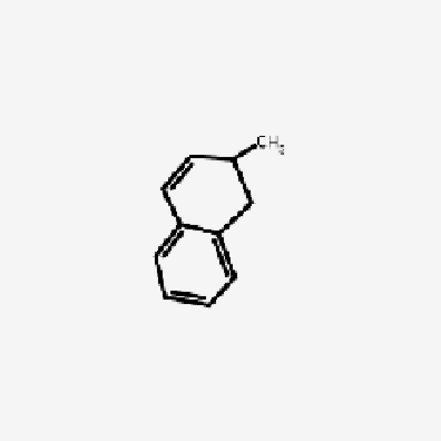 CC1C=Cc2ccccc2C1